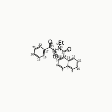 CCN(C(=O)c1cccc2ccccc12)N(C(=O)c1ccccc1)C(C)(C)C